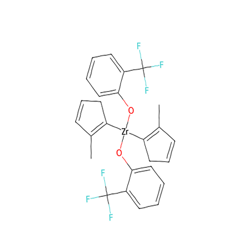 CC1=[C]([Zr]([O]c2ccccc2C(F)(F)F)([O]c2ccccc2C(F)(F)F)[C]2=C(C)C=CC2)CC=C1